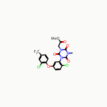 COC(=O)Cn1c(=O)n(C)c(=O)n(-c2cc(Oc3ccc(C(F)(F)F)cc3Cl)ccc2Cl)c1=O